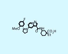 CCC1(C(=O)O)CCCC(NC(=O)c2cnn3ccc(N4CCC[C@@H]4c4cc(F)ccc4OC)cc23)C1